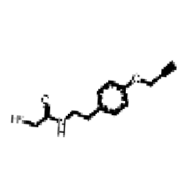 C#CCOc1ccc(CCNC(=O)CS)cc1